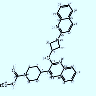 CC(C)(C)OC(=O)N1CCC(c2nc3ccccc3nc2OC2CN(c3ccc4ccccc4n3)C2)CC1